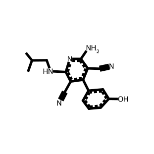 CC(C)CNc1nc(N)c(C#N)c(-c2cccc(O)c2)c1C#N